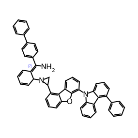 N/C(=C1/C=CC=CC1N1CC1c1cccc2oc3c(-n4c5ccccc5c5c(-c6ccccc6)cccc54)cccc3c12)c1ccc(-c2ccccc2)cc1